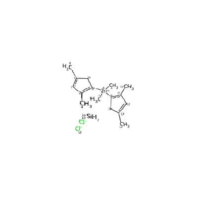 CC1=CC(C)=[C]([Zr+2]([CH3])([CH3])[C]2=C(C)C=C(C)C2)C1.[Cl-].[Cl-].[SiH4]